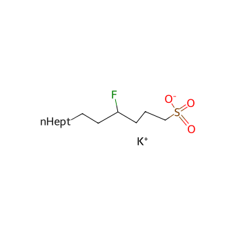 CCCCCCCCCC(F)CCCS(=O)(=O)[O-].[K+]